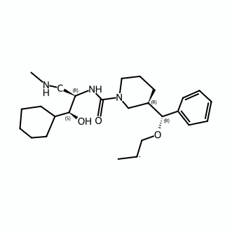 C[CH]CO[C@@H](c1ccccc1)[C@@H]1CCCN(C(=O)N[C@H](CNC)[C@@H](O)C2CCCCC2)C1